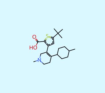 CC1CCC(C2=C(c3cc(C(C)(C)C)sc3C(=O)O)CN(C)CC2)CC1